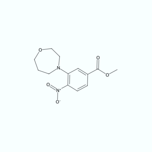 COC(=O)c1ccc([N+](=O)[O-])c(N2CCCOCC2)c1